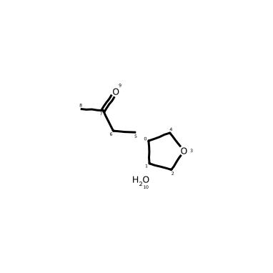 C1CCOC1.CCC(C)=O.O